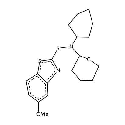 COc1ccc2sc(SN(C3CCCCC3)C3CCCCC3)nc2c1